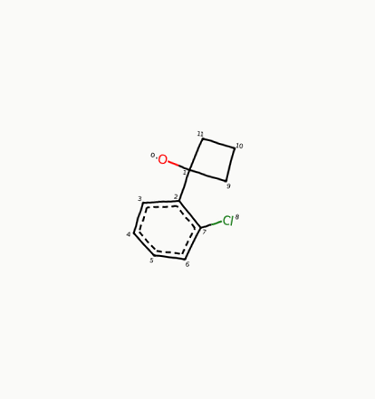 [O]C1(c2ccccc2Cl)CCC1